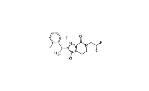 CC(c1c(F)cccc1F)n1nc2c(c1Cl)CCN(CC(F)F)C2=O